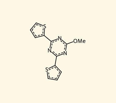 COc1nc(-c2cccs2)nc(-c2cccs2)n1